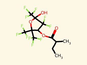 CCC(C)C(=O)OC1C(F)(F)C(O)(C(F)(F)F)OC1(C(F)(F)F)C(F)(F)F